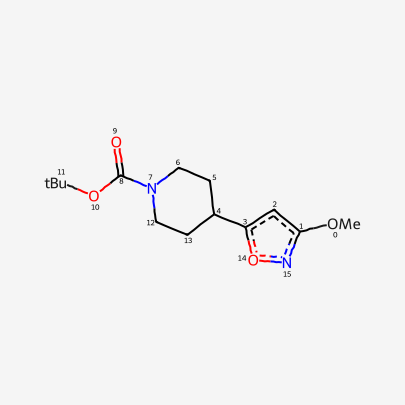 COc1cc(C2CCN(C(=O)OC(C)(C)C)CC2)on1